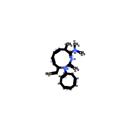 C=CC1/C=C\C=C/C(C)/C(N(C)C)=N\C(=C)N1/C1=C/C/C=C\C=C/C1